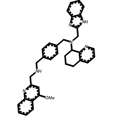 COc1cc(CNCc2ccc(CN(Cc3nc4ccccc4[nH]3)C3CCCc4cccnc43)cc2)nc2ccccc12